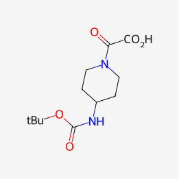 CC(C)(C)OC(=O)NC1CCN(C(=O)C(=O)O)CC1